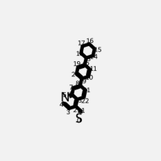 S=Cc1ccnc2cc(-c3ccc(C4CCCCC4)cc3)ccc12